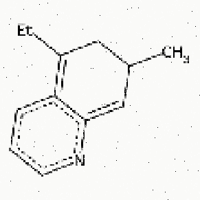 CCC1=c2cccnc2=CC(C)C1